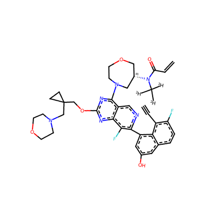 [2H]C([2H])([2H])N(C(=O)C=C)[C@H]1COCCN(c2nc(OCC3(CN4CCOCC4)CC3)nc3c(F)c(-c4cc(O)cc5ccc(F)c(C#C)c45)ncc23)C1